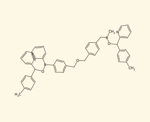 CB(Cc1ccc(COCc2ccc(B(OC(c3ccc(C)cc3)c3ccccn3)c3ccccc3)cc2)cc1)OC(c1ccc(C)cc1)c1ccccn1